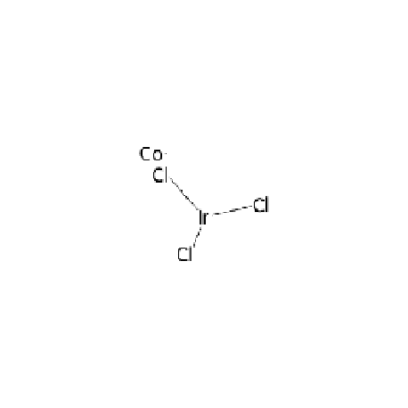 [Cl][Ir]([Cl])[Cl].[Co]